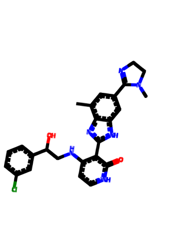 Cc1cc(C2=NCCN2C)cc2[nH]c(-c3c(NCC(O)c4cccc(Cl)c4)cc[nH]c3=O)nc12